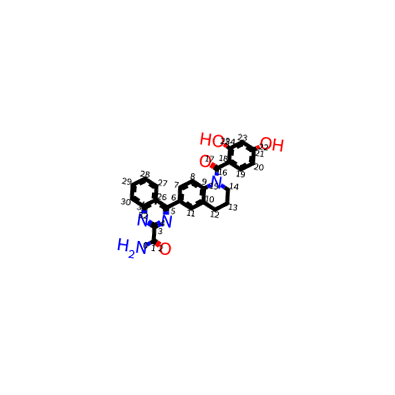 NC(=O)c1nc(-c2ccc3c(c2)CCCN3C(=O)c2ccc(O)cc2O)c2ccccc2n1